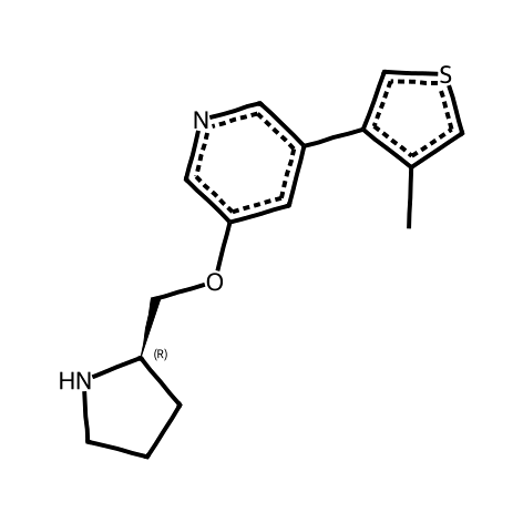 Cc1cscc1-c1cncc(OC[C@H]2CCCN2)c1